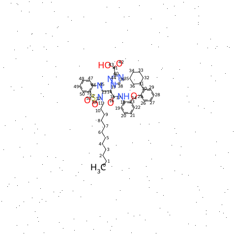 CCCCCCCCCCCCN1C(C(C(=O)Nc2ccccc2Oc2ccccc2C2CCCCC2)n2cnc(C(=O)O)n2)=Nc2ccccc2S1(=O)=O